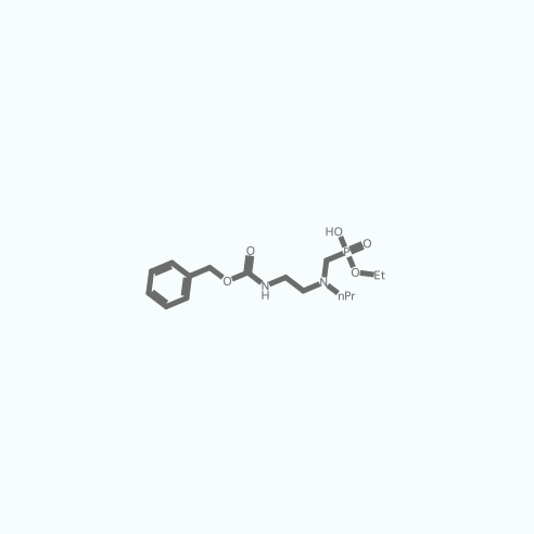 CCCN(CCNC(=O)OCc1ccccc1)CP(=O)(O)OCC